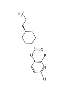 CCC[C@H]1CC[C@H](C(=O)Oc2ccc(Cl)nc2F)CC1